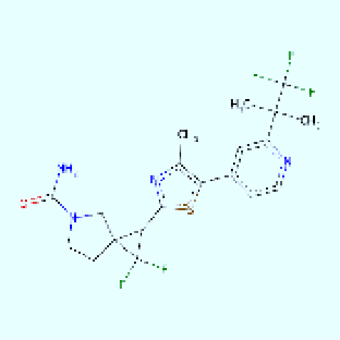 Cc1nc(C2C(F)(F)C23CCN(C(N)=O)C3)sc1-c1ccnc(C(C)(C)C(F)(F)F)c1